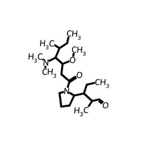 CCC(C)C(C(CC(=O)N1CCCC1C(CC)C(C)C=O)OC)N(C)C